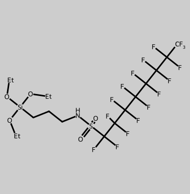 CCO[Si](CCCNS(=O)(=O)C(F)(F)C(F)(F)C(F)(F)C(F)(F)C(F)(F)C(F)(F)C(F)(F)C(F)(F)F)(OCC)OCC